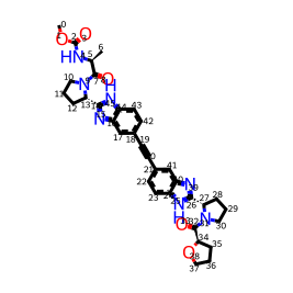 COC(=O)N[C@@H](C)C(=O)N1CCC[C@H]1c1nc2cc(C#Cc3ccc4[nH]c([C@@H]5CCCN5C(=O)[C@H]5CCCO5)nc4c3)ccc2[nH]1